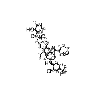 CCc1c(C=C2CN(C(=O)c3ncnc(C)c3O)C(C)(C)C2)c(=O)n2nc(C3=CCCOCC3)nc2n1CC(=O)Nc1ccc(C(F)(F)F)cc1Cl